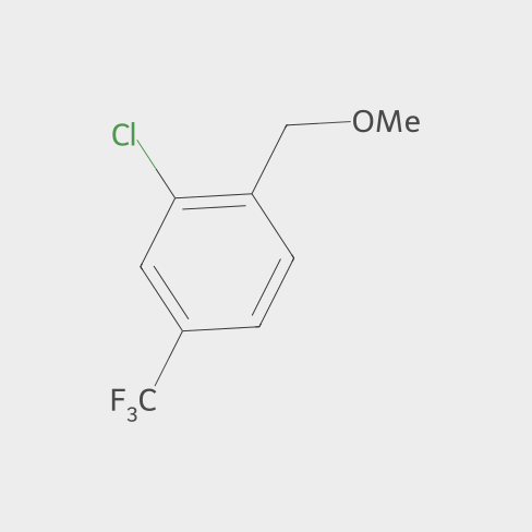 COCc1ccc(C(F)(F)F)cc1Cl